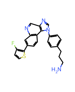 NCCCc1ccc(-n2cnc3cnc4cc(-c5sccc5F)ccc4c32)cc1